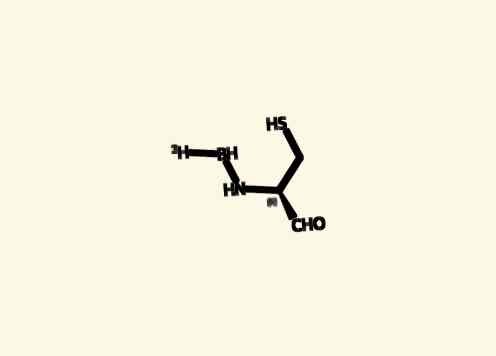 [3H]BN[C@H](C=O)CS